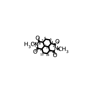 CN1C(=O)C2CCC3C(=O)N(C)C(=O)C4CCC(C1=O)C2C34